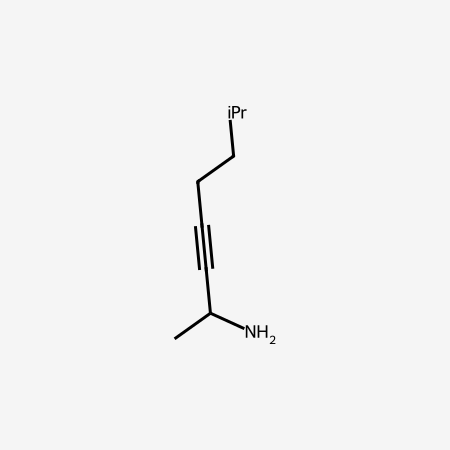 CC(N)C#CCCC(C)C